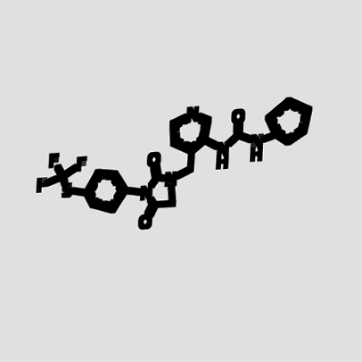 O=C(Nc1ccccc1)Nc1cnccc1CN1CC(=O)N(c2ccc(SC(F)(F)F)cc2)C1=O